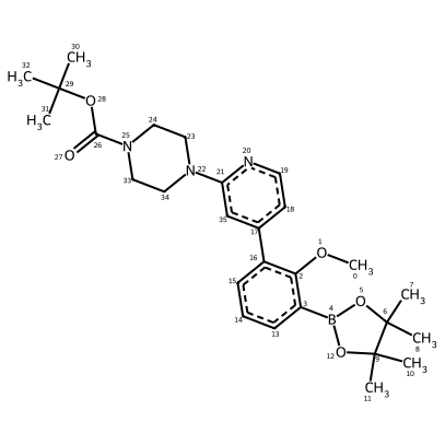 COc1c(B2OC(C)(C)C(C)(C)O2)cccc1-c1ccnc(N2CCN(C(=O)OC(C)(C)C)CC2)c1